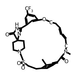 Cc1cc2ccc1CCS(=O)(=O)N1CCC3(CC1)N=C(NC3=O)c1cc(cc(C(F)(F)F)c1)OCCC=C=CCN(C)C2=O